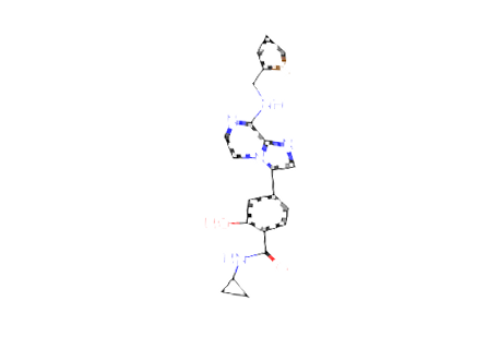 O=C(NC1CC1)c1ccc(-c2cnc3c(NCc4cccs4)nccn23)cc1O